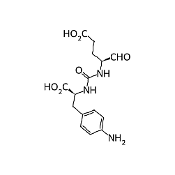 Nc1ccc(C[C@H](NC(=O)N[C@H](C=O)CCC(=O)O)C(=O)O)cc1